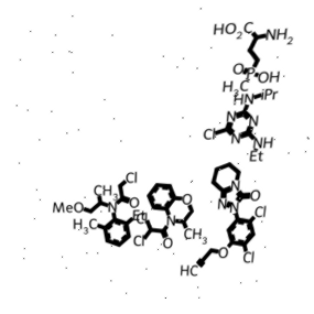 C#CCOc1cc(-n2nc3n(c2=O)CCCC3)c(Cl)cc1Cl.CC1COc2ccccc2N1C(=O)C(Cl)Cl.CCNc1nc(Cl)nc(NC(C)C)n1.CCc1cccc(C)c1N(C(=O)CCl)C(C)COC.CP(=O)(O)CCC(N)C(=O)O